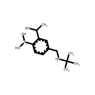 CC(O)c1cc(CNC(C)(C)C)ccc1N(O)O